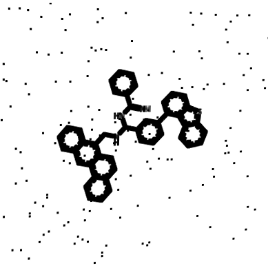 N=C(NC(NCc1c2ccccc2cc2c1ccc1ccccc12)c1cccc(-c2cccc3sc4ccccc4c23)c1)c1ccccc1